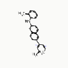 C=C/C=C(\C=C/C)c1ccc2cc(Nc3ccccc3C)ccc2c1